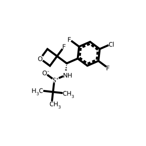 CC(C)(C)[S+]([O-])N[C@@H](c1cc(F)c(Cl)cc1F)C1(F)COC1